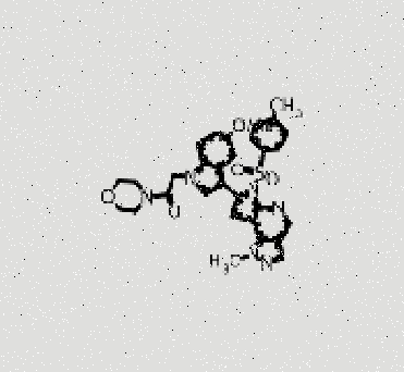 COc1ccc2c(c1)c(-c1cc3c4c(cnc3n1S(=O)(=O)c1ccc(C)cc1)cnn4C)cn2CC(=O)N1CCOCC1